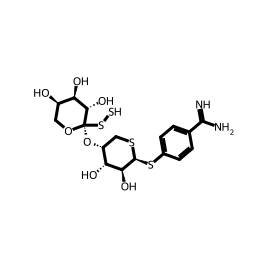 N=C(N)c1ccc(S[C@@H]2SC[C@@H](O[C@]3(SS)OC[C@@H](O)[C@@H](O)[C@@H]3O)[C@@H](O)[C@@H]2O)cc1